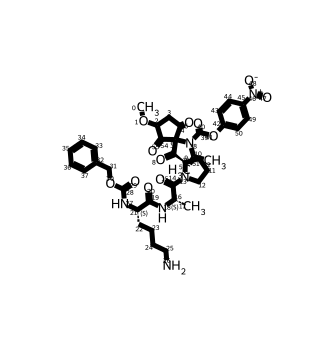 COC1CC(=O)C(C(=O)[C@H]2CCCN2C(=O)[C@H](C)NC(=O)[C@H](CCCCN)NC(=O)OCc2ccccc2)(N(C(=O)Oc2ccc([N+](=O)[O-])cc2)C(C)C)C1=O